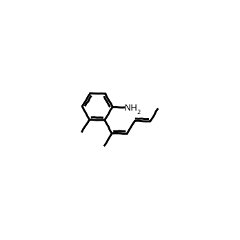 C/C=C/C=C(/C)c1c(C)cccc1N